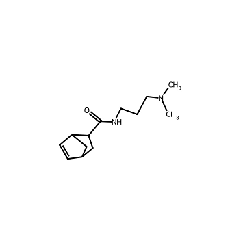 CN(C)CCCNC(=O)C1CC2C=CC1C2